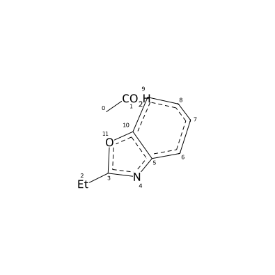 CC(=O)O.CCc1nc2ccccc2o1